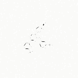 N#CC1(O)C=CN(N2C=NC(c3cccc(C(F)(F)F)n3)=NC2Nc2ccnc(C(F)(F)F)c2)C1